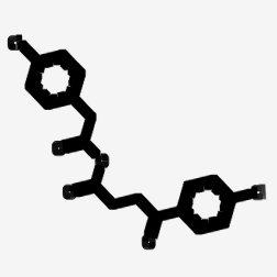 O=C(CCC(=O)c1ccc(Cl)cc1)OC(=O)Cc1ccc(Cl)cc1